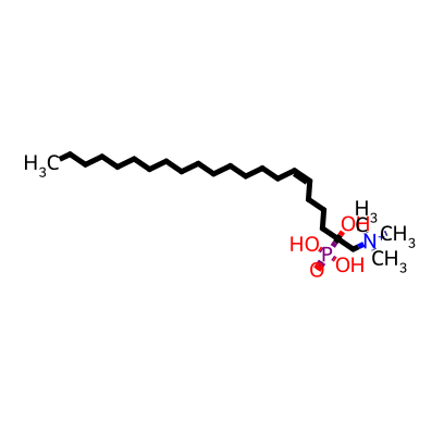 CCCCCCCCCCCCCCC/C=C\CCCC(O)(C[N+](C)(C)C)P(=O)(O)O